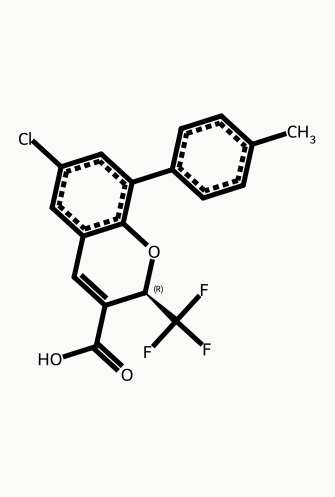 Cc1ccc(-c2cc(Cl)cc3c2O[C@@H](C(F)(F)F)C(C(=O)O)=C3)cc1